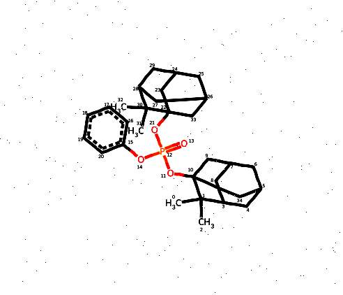 CC1(C)C2CC3CC(C2)CC1(OP(=O)(Oc1ccccc1)OC12CC4CC(CC(C4)C1(C)C)C2)C3